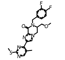 COCC1Cn2cc(-c3nc(SC)ncc3C)nc2C(=O)N1Cc1ccc(F)c(F)c1